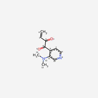 C=CC(=O)C(=O)c1ccncc1N(C)C